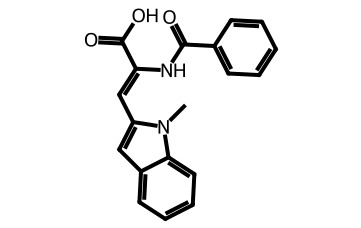 Cn1c(C=C(NC(=O)c2ccccc2)C(=O)O)cc2ccccc21